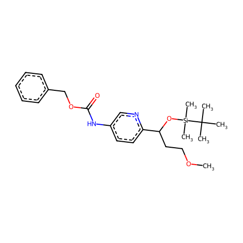 COCCC(O[Si](C)(C)C(C)(C)C)c1ccc(NC(=O)OCc2ccccc2)cn1